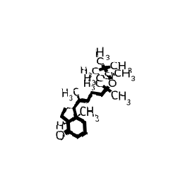 C[C@@H](CCCC(C)(C)O[Si](C)(C)C(C)(C)C)[C@H]1CC[C@H]2C(=O)CCC[C@]12C